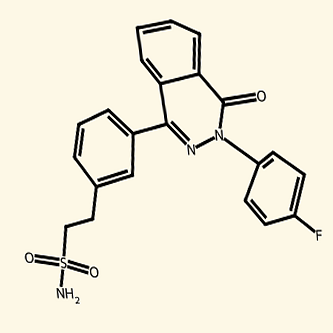 NS(=O)(=O)CCc1cccc(-c2nn(-c3ccc(F)cc3)c(=O)c3ccccc23)c1